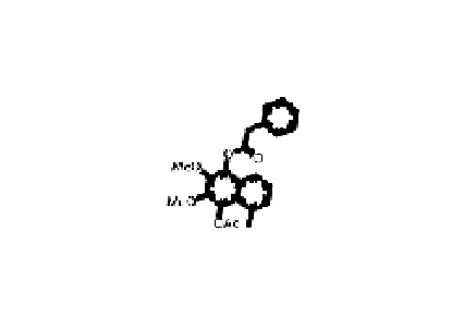 COc1c(OC)c(OC(C)=O)c2c(C)cccc2c1OC(=O)Cc1ccccc1